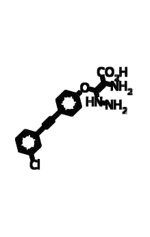 NN/C(Oc1ccc(C#Cc2cccc(Cl)c2)cc1)=C(\N)C(=O)O